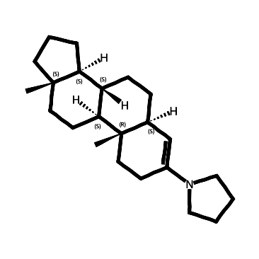 C[C@@]12CCC[C@H]1[C@@H]1CC[C@H]3C=C(N4CCCC4)CC[C@]3(C)[C@H]1CC2